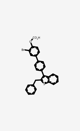 O=C(O)Oc1ccc(-c2ccc(-c3c(Cc4ccccc4)sc4ccccc34)cc2)cc1Br